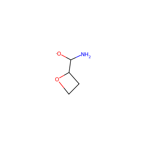 NC([O])C1CCO1